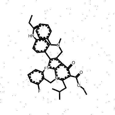 CCOC(=O)c1c(CC(C)C)n(Cc2c(F)cccc2F)c2sc(-c3ccc(NC(=O)CC)cc3)c(CN(C)Cc3ccccc3)c2c1=O